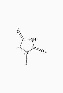 O=C1CN(I)C(=O)N1